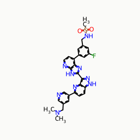 CN(C)Cc1cncc(-c2ccc3[nH]nc(-c4nc5c(-c6cc(F)cc(CNS(C)(=O)=O)c6)ccnc5[nH]4)c3n2)c1